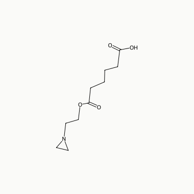 O=C(O)CCCCC(=O)OCCN1CC1